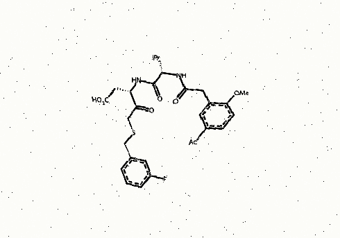 COc1ccc(C(C)=O)cc1CC(=O)N[C@H](C(=O)N[C@@H](CC(=O)O)C(=O)CSCc1cccc(F)c1)C(C)C